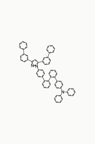 c1ccc(-c2cccc(-c3cc(-c4cccc(-c5ccccc5)c4)n(-c4ccc(-c5ccccc5-c5ccccc5-c5ccc(N(c6ccccc6)c6ccccc6)cc5)cc4)n3)c2)cc1